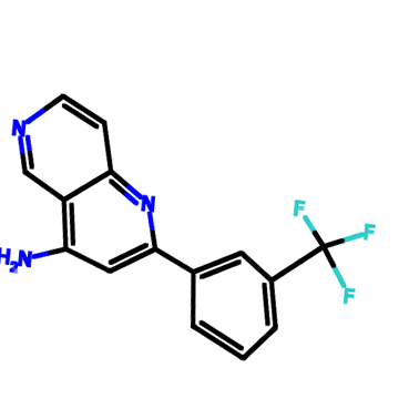 Nc1cc(-c2cccc(C(F)(F)F)c2)nc2ccncc12